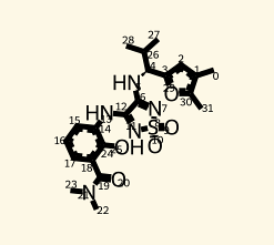 Cc1cc([C@H](NC2=NS(=O)(=O)N=C2Nc2cccc(C(=O)N(C)C)c2O)C(C)C)oc1C